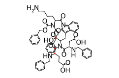 NCCCCC(C(=O)n1cc(CC(C(=O)O)N(C(=O)C(CCC(=O)O)NCc2ccccc2)C(=O)C(CC(=O)O)NCc2ccccc2)c2ccccc21)N(C(=O)OCc1ccccc1)C(=O)OCc1ccccc1